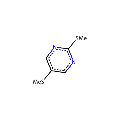 CSc1cnc(SC)nc1